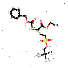 CCOC(=O)[C@H](CCS(=O)(=O)OCC(C)(C)C)NC(=O)OCc1ccccc1